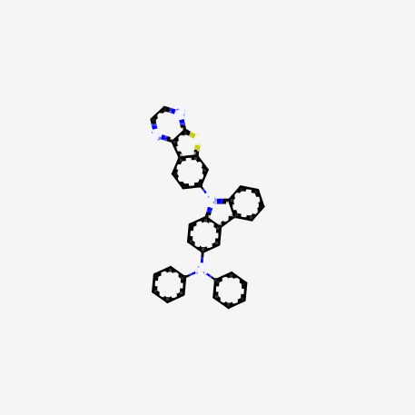 c1ccc(N(c2ccccc2)c2ccc3c(c2)c2ccccc2n3-c2ccc3c(c2)sc2nccnc23)cc1